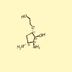 N[C@@H]1[C@H](O)[C@@H](OCCO)C[C@H]1N